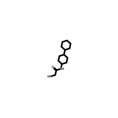 [NH]CC(=O)NC1CCC(C2CCCCC2)CC1